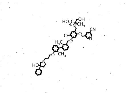 Cc1c(COc2cc(OCc3cncc(C#N)c3)c(CN[C@@](C)(CO)C(=O)O)cc2Cl)cccc1-c1cccc(OCCCN2CCC(O)(c3ccccc3)C2)c1C